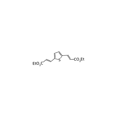 CCOC(=O)C=Cc1ccc(C=CC(=O)OCC)s1